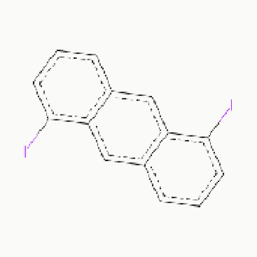 Ic1cccc2cc3c(I)cccc3cc12